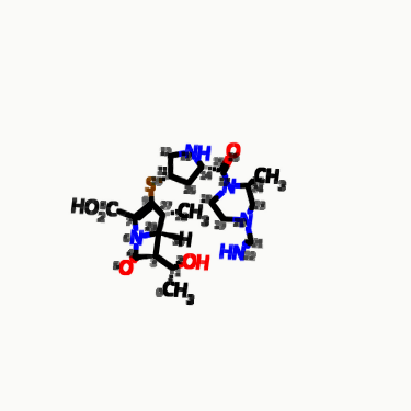 C[C@@H](O)[C@H]1C(=O)N2C(C(=O)O)=C(S[C@@H]3CN[C@H](C(=O)N4CCN(C=N)C[C@@H]4C)C3)[C@H](C)[C@H]12